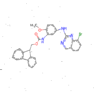 COc1ccc(Nc2ncc3cccc(Br)c3n2)cc1NC(=O)OCC1c2ccccc2-c2ccccc21